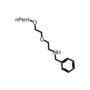 CCCCCOCCOCCNCc1ccccc1